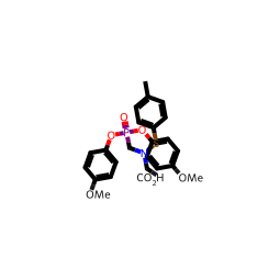 COc1ccc(OP(=O)(CN(CC(=O)O)Sc2ccc(C)cc2)Oc2ccc(OC)cc2)cc1